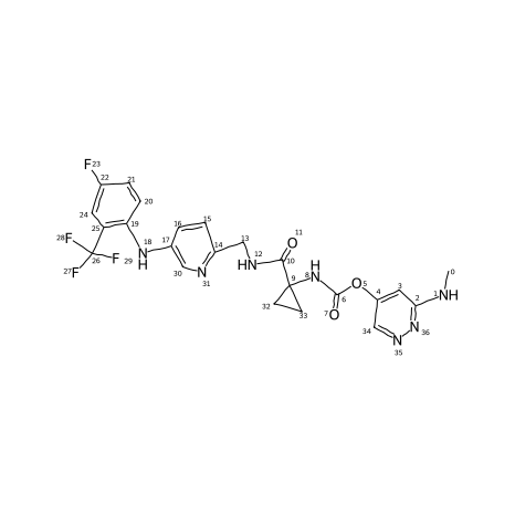 CNc1cc(OC(=O)NC2(C(=O)NCc3ccc(Nc4ccc(F)cc4C(F)(F)F)cn3)CC2)cnn1